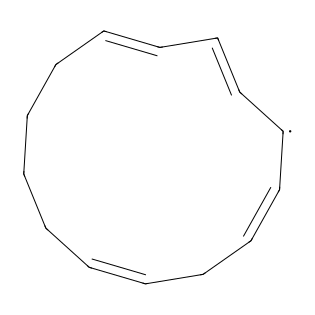 [CH]1/C=C\C/C=C\CCCC/C=C/C=C/1